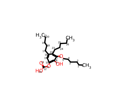 CCCCCCOc1c(O)c(OC(=O)O)cc(CCCCC)c1CCCCC